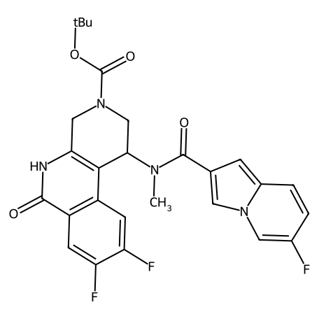 CN(C(=O)c1cc2ccc(F)cn2c1)C1CN(C(=O)OC(C)(C)C)Cc2[nH]c(=O)c3cc(F)c(F)cc3c21